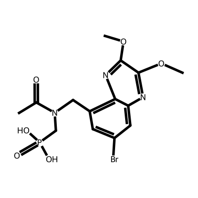 COc1nc2cc(Br)cc(CN(CP(=O)(O)O)C(C)=O)c2nc1OC